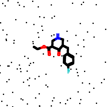 CCOC(=O)C1CNCC(Cc2ccc(F)cc2)C1=O